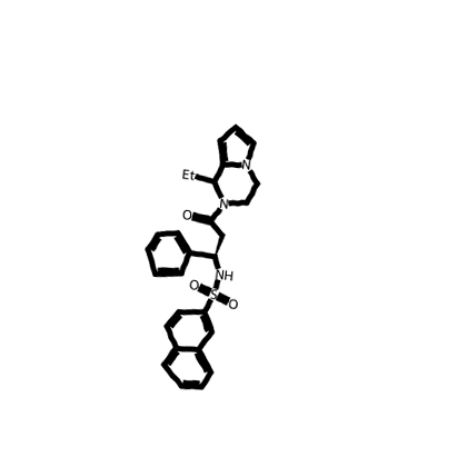 CCC1c2cccn2CCN1C(=O)C[C@@H](NS(=O)(=O)c1ccc2ccccc2c1)c1ccccc1